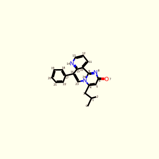 CC(C)Cc1cc(=O)nc2c3cccnc3c(-c3ccccc3)cn12